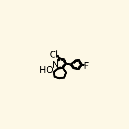 OC1CCCCc2c(-c3ccc(F)cc3)cc(Cl)nc21